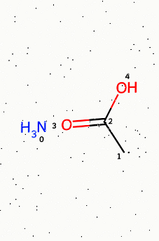 N.[CH2]C(=O)O